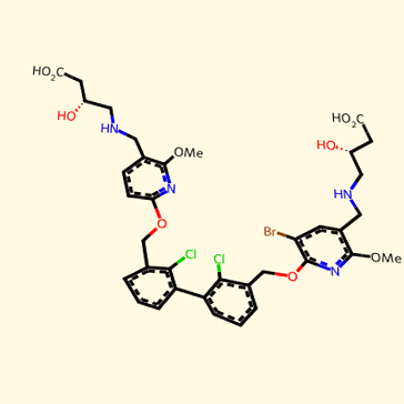 COc1nc(OCc2cccc(-c3cccc(COc4nc(OC)c(CNC[C@H](O)CC(=O)O)cc4Br)c3Cl)c2Cl)ccc1CNC[C@H](O)CC(=O)O